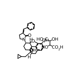 O=C(O)C(O)C(O)C(=O)O.O=C1/C(=C\c2ccccc2)CCN1[C@@H]1CC[C@@]2(O)[C@H]3Cc4ccc(O)c5c4[C@@]2(CCN3CC2CC2)[C@H]1O5